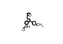 CN1CC=C(c2cn(Cc3ccco3)c3ccc(NC=O)cc23)CC1